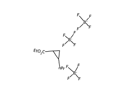 CCCC1CC1C(=O)OCC.F[B-](F)(F)F.F[B-](F)(F)F.F[B-](F)(F)F